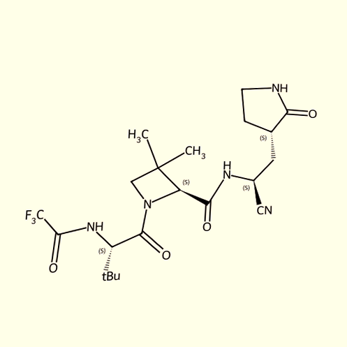 CC(C)(C)[C@H](NC(=O)C(F)(F)F)C(=O)N1CC(C)(C)[C@H]1C(=O)N[C@H](C#N)C[C@@H]1CCNC1=O